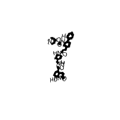 Cc1cc(NC(=O)CCc2ccc(-c3ccccc3)c(NC(=O)OC3CC[N+](C)(C)CC3)c2)ccc1CNC[C@H](O)c1ccc(O)c2[nH]c(=O)ccc12